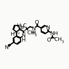 CC(=O)Nc1ccc(C(=O)NCC(C)(C)[C@H]2Nc3ccc(C#N)cc3[C@H]3C=CC[C@H]32)cn1